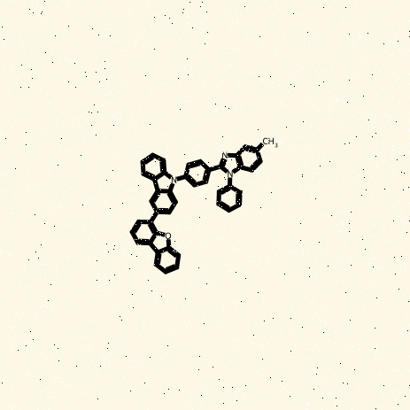 Cc1ccc2c(c1)nc(-c1ccc(-n3c4ccccc4c4cc(-c5cccc6c5oc5ccccc56)ccc43)cc1)n2-c1ccccc1